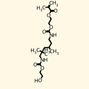 C=C(C)C(=O)OCCOC(=O)NCCC(C)CC(C)(C)CNC(=O)OCCO